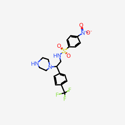 O=[N+]([O-])c1ccc(S(=O)(=O)NCC(c2ccc(C(F)(F)F)cc2)N2CCNCC2)cc1